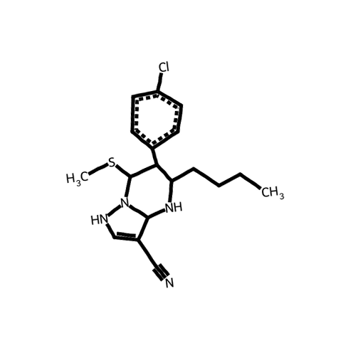 CCCCC1NC2C(C#N)=CNN2C(SC)C1c1ccc(Cl)cc1